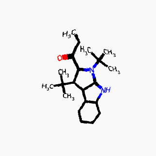 CCC(=O)C1C(C(C)(C)C)C2C3CCCCC3NC2N1C(C)(C)C